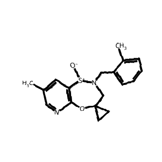 Cc1cnc2c(c1)[S+]([O-])N(Cc1ccccc1C)CC1(CC1)O2